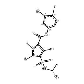 C[C@@H](NS(=O)(=O)c1c(F)c(C(=O)Nc2ccc(F)c(C#N)c2)n(C)c1Br)C(F)(F)F